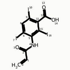 C=CC(=O)Nc1c(I)cc(I)c(C(=O)O)c1I